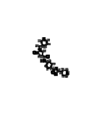 O=C(Nc1ccc(-c2nc(-c3ccncc3)no2)cc1)C1CC(=O)N(Cc2cccnc2)C1